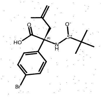 C=C(C)C[C@](N[S+]([O-])C(C)(C)C)(C(=O)O)c1ccc(Br)cc1